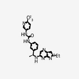 CCn1cc2ncc(N[C@@H](C)c3cccc(NC(=O)Nc4ccc(C(F)(F)F)nc4)c3)nc2n1